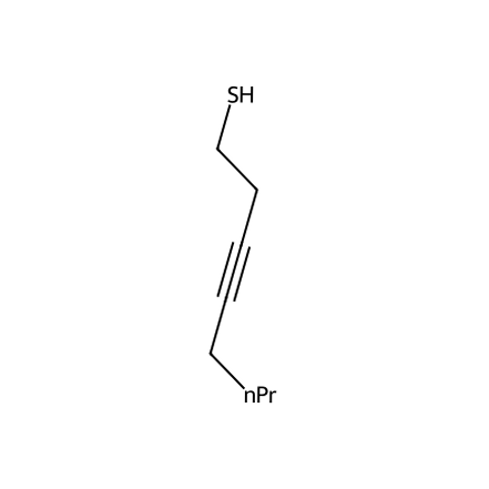 CCCCC#CCCS